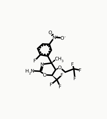 C[C@]1(c2cc([N+](=O)[O-])ccc2F)N=C(N)O[C@H](C(F)(F)F)[C@@H]1OCC(F)(F)F